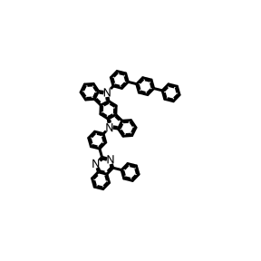 c1ccc(-c2ccc(-c3cccc(-n4c5ccccc5c5cc6c(cc54)c4ccccc4n6-c4cccc(-c5nc(-c6ccccc6)c6ccccc6n5)c4)c3)cc2)cc1